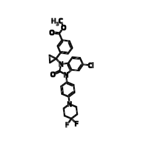 COC(=O)c1cccc(C2(n3c(=O)n(-c4ccc(N5CCC(F)(F)CC5)cc4)c4cc(Cl)ccc43)CC2)c1